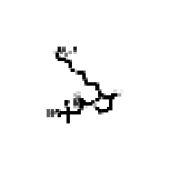 CCCCCCC(C)(O)CC(=O)N1CCC(=O)C1CCCCCCC(=O)OCC